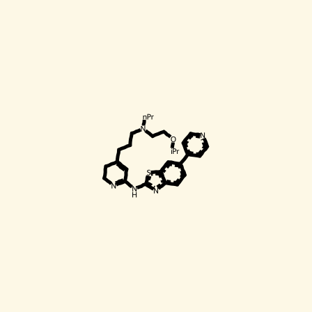 CCCN(CCCC1=CC(Nc2nc3ccc(-c4ccncc4)cc3s2)=NCC1)CCOC(C)C